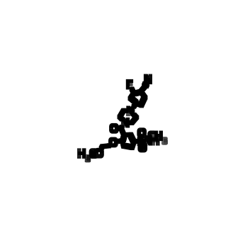 CNS(=O)(=O)c1ccc(OCCOC)c(C(=O)N2CCN(c3ccc(C#N)c(F)c3)CC2)c1